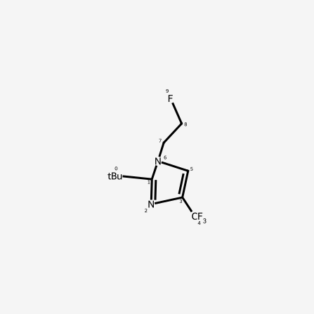 CC(C)(C)c1nc(C(F)(F)F)cn1CCF